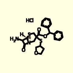 Cl.NC1C(=O)N2CC(SC3CCOC3)(C(=O)OC(c3ccccc3)c3ccccc3)CS[C@H]12